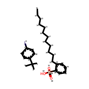 CC(C)(C)c1ccc(I)cc1.CCCCCCCCCCCCc1ccccc1S(=O)(=O)O